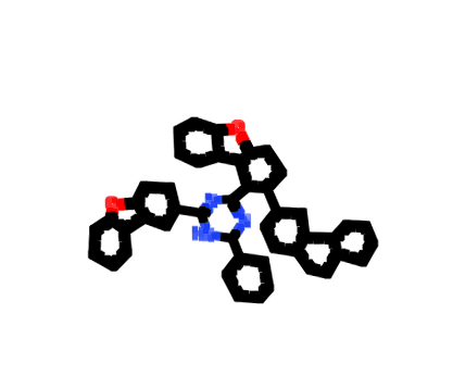 c1ccc(C2N=C(c3c(-c4ccc5ccc6ccccc6c5c4)ccc4oc5ccccc5c34)N=C(c3ccc4oc5ccccc5c4c3)N2)cc1